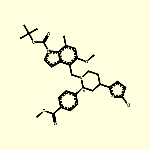 COC(=O)c1ccc([C@@H]2CC(c3ccc(Cl)s3)CCN2Cc2c(OC)cc(C)c3c2ccn3C(=O)OC(C)(C)C)cc1